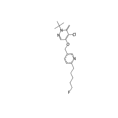 C=C1C(Cl)=C(OCc2ccc(CCCCCF)nc2)C=NN1C(C)(C)C